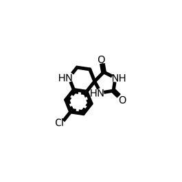 O=C1NC(=O)C2(CCNc3cc(Cl)ccc32)N1